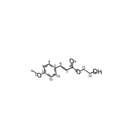 COc1ccc(C=CC(=O)OCCO)cc1